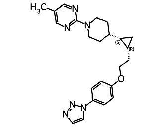 Cc1cnc(N2CCC([C@@H]3C[C@@H]3CCOc3ccc(-n4ccnn4)cc3)CC2)nc1